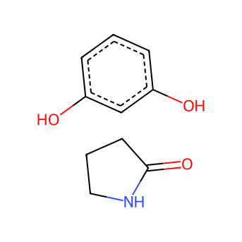 O=C1CCCN1.Oc1cccc(O)c1